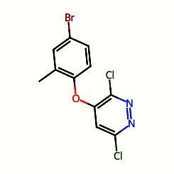 Cc1cc(Br)ccc1Oc1cc(Cl)nnc1Cl